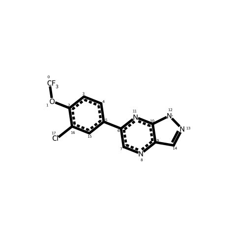 FC(F)(F)Oc1ccc(-c2cnc3c(n2)[N]N=C3)cc1Cl